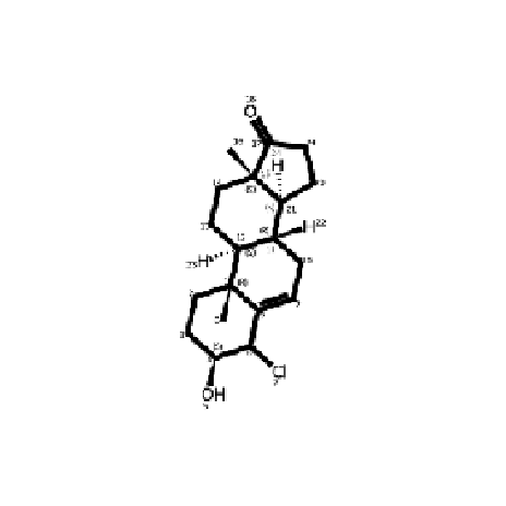 C[C@]12CC[C@H](O)C(Cl)C1=CC[C@@H]1[C@@H]2CC[C@]2(C)C(=O)CC[C@@H]12